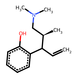 C=CC(c1ccccc1O)[C@H](C)CN(C)C